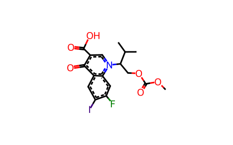 COC(=O)OCC(C(C)C)n1cc(C(=O)O)c(=O)c2cc(I)c(F)cc21